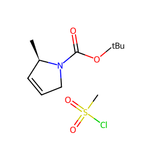 CS(=O)(=O)Cl.C[C@@H]1C=CCN1C(=O)OC(C)(C)C